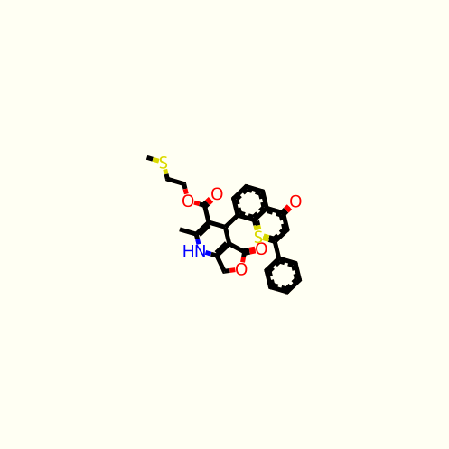 CSCCOC(=O)C1=C(C)NC2=C(C(=O)OC2)C1c1cccc2c(=O)cc(-c3ccccc3)sc12